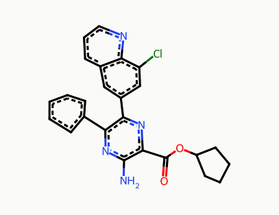 Nc1nc(-c2ccccc2)c(-c2cc(Cl)c3ncccc3c2)nc1C(=O)OC1CCCC1